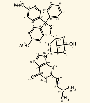 COc1ccc(C(SC[C@]23CC4(O)OC(C42)[C@H](n2cnc4c(=O)[nH]c(/N=C/N(C)C)nc42)O3)(c2ccccc2)c2ccc(OC)cc2)cc1